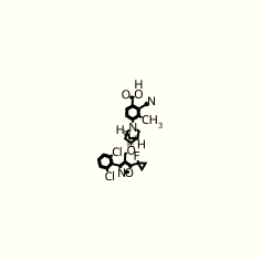 Cc1c(N2C[C@@H]3C[C@H]2C[C@H]3OCc2c(-c3c(Cl)cccc3Cl)noc2C2(F)CC2)ccc(C(=O)O)c1C#N